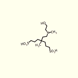 CN(CCO)CCC(C)(CCCS(=O)(=O)O)CCCS(=O)(=O)O